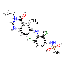 CCCS(=O)(=O)Nc1ccc(F)c(Nc2ccc3ncn(CC(F)(F)F)c(=O)c3c2C)c1Cl